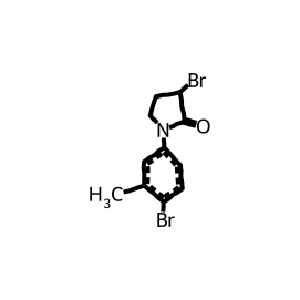 Cc1cc(N2CCC(Br)C2=O)ccc1Br